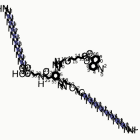 CN(C)c1cccc2c(S(=O)(=O)OCCCCOCc3cn(-c4cc(CC(=O)NCCCOP(=O)(O)O/N=N/N=N/N=N/N=N/N=N/N=N/N=N/N=N/N=N)cc(-n5cc(COCCO/N=N/N=N/N=N/N=N/N=N/N=N/N=N/N=N/N=N)nn5)c4)nn3)cccc12